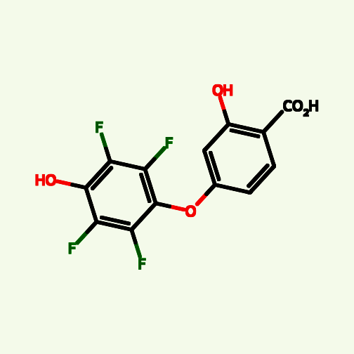 O=C(O)c1ccc(Oc2c(F)c(F)c(O)c(F)c2F)cc1O